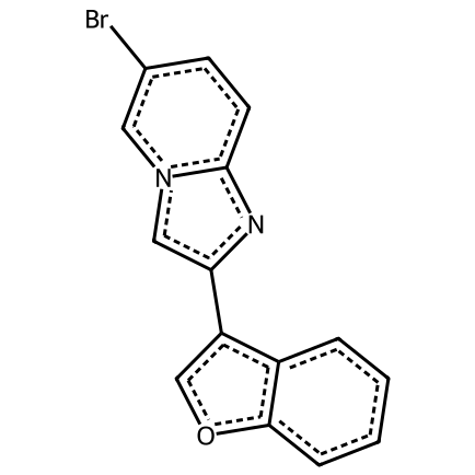 Brc1ccc2nc(-c3coc4ccccc34)cn2c1